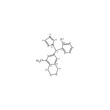 Cc1cc(C(c2ccccc2F)n2ccnc2)cc2c1CCCC2